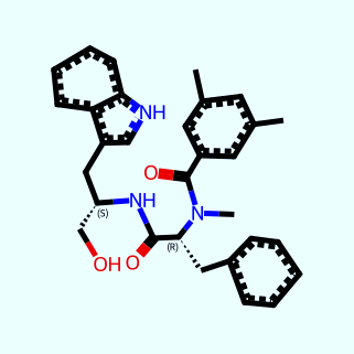 Cc1cc(C)cc(C(=O)N(C)[C@H](Cc2ccccc2)C(=O)N[C@H](CO)Cc2c[nH]c3ccccc23)c1